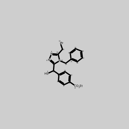 CCOC(=O)c1ccc(C(S)c2nnc(CC(C)C)n2Cc2ccccc2)cc1